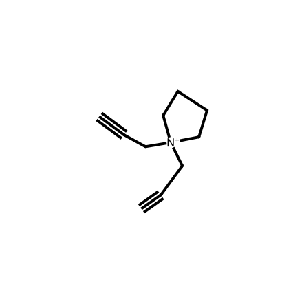 C#CC[N+]1(CC#C)CCCC1